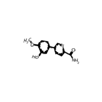 COc1ccc(-c2ccc(C(N)=O)nc2)cc1O